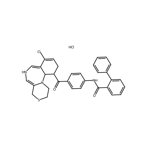 Cl.O=C(Nc1ccc(C(=O)C2CC=C(Cl)C3=CNC=C4CSCCN4C32)cc1)c1ccccc1-c1ccccc1